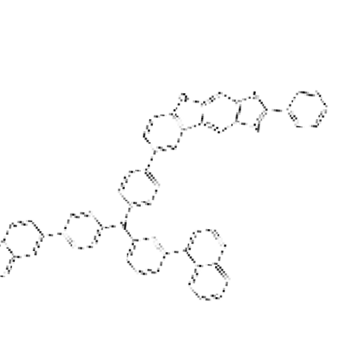 c1ccc(-c2nc3cc4c(cc3s2)oc2ccc(-c3ccc(N(c5ccc(-c6ccc7ccccc7c6)cc5)c5cccc(-c6cccc7ccccc67)c5)cc3)cc24)cc1